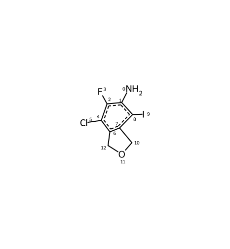 Nc1c(F)c(Cl)c2c(c1I)COC2